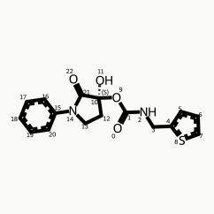 O=C(NCc1cccs1)O[C@@]1(O)CCN(c2ccccc2)C1=O